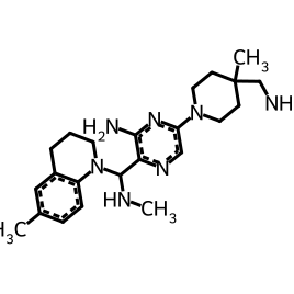 CNC(c1ncc(N2CCC(C)(CN)CC2)nc1N)N1CCCc2cc(C)ccc21